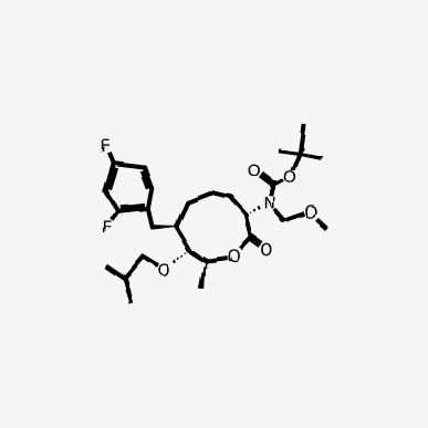 COCN(C(=O)OC(C)(C)C)[C@H]1CCC[C@H](Cc2ccc(F)cc2F)[C@@H](OCC(C)C)[C@H](C)OC1=O